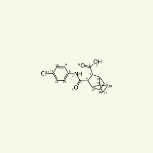 O=C(O)C1C(C(=O)Nc2ccc(Cl)cc2)C2CCC1C21CC1